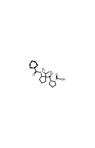 CC(C)C1(C(=O)N2CCC[C@H]2C(=O)O)CCCC1SC(=O)c1ccccc1